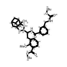 COc1c(CC(NC(=O)c2cccc(CNC(=O)OC(C)(C)C)c2)B2OC3CC4CC(C4(C)C)C3(C)O2)cccc1C(=O)OC(C)(C)C